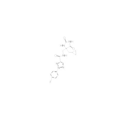 O=C1NC(=O)C(CNC(=O)c2cnn(-c3ccc(F)cc3)n2)(CC2CC2)N1